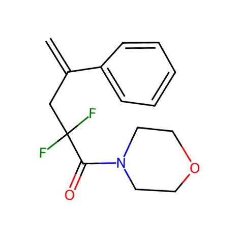 C=C(CC(F)(F)C(=O)N1CCOCC1)c1ccccc1